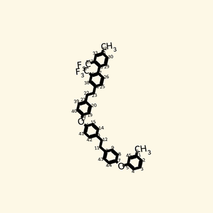 Cc1cccc(Oc2ccc(CCc3ccc(Oc4ccc(CCc5ccc(-c6ccc(C)cc6C(F)(F)F)c(C(F)(F)F)c5)cc4)cc3)cc2)c1